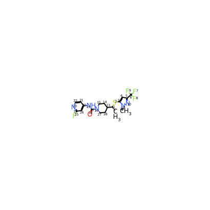 CC(Sc1cc(C(F)(F)F)nn1C)C1CCN(C(=O)Nc2ccnc(F)c2)CC1